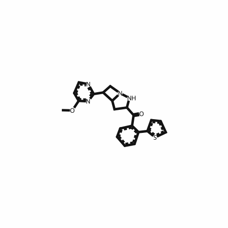 COc1ccnc(C2CN3NC(C(=O)c4ccccc4-c4cccs4)CC23)n1